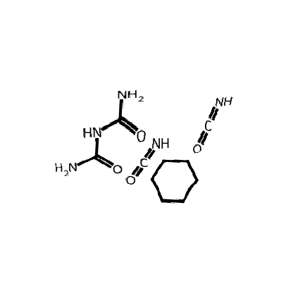 C1CCCCC1.N=C=O.N=C=O.NC(=O)NC(N)=O